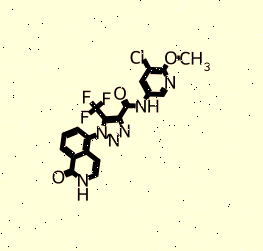 COc1ncc(NC(=O)c2nnn(-c3cccc4c(=O)[nH]ccc34)c2C(F)(F)F)cc1Cl